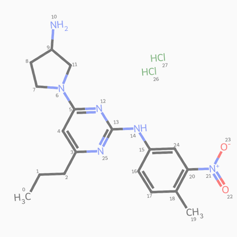 CCCc1cc(N2CCC(N)C2)nc(Nc2ccc(C)c([N+](=O)[O-])c2)n1.Cl.Cl